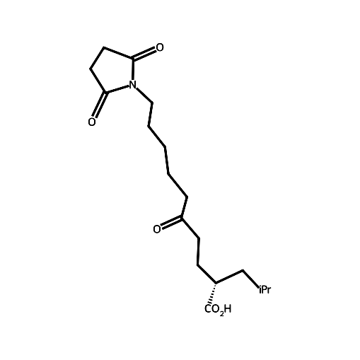 CC(C)C[C@@H](CCC(=O)CCCCCN1C(=O)CCC1=O)C(=O)O